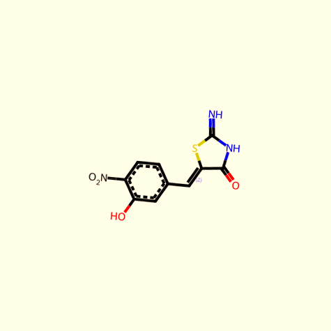 N=C1NC(=O)/C(=C/c2ccc([N+](=O)[O-])c(O)c2)S1